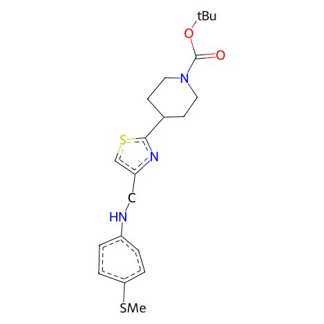 CSc1ccc(NCc2csc(C3CCN(C(=O)OC(C)(C)C)CC3)n2)cc1